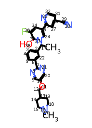 CC(c1cccc(-c2ncc(OCC3CCN(C)CC3)cn2)c1)N1C=C(c2cc(C#N)ccn2)C=C(F)C1O